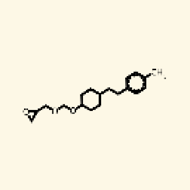 Cc1ccc(CCC2CCC(OCOCC3CO3)CC2)cc1